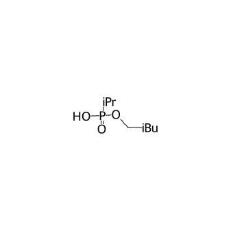 CCC(C)COP(=O)(O)C(C)C